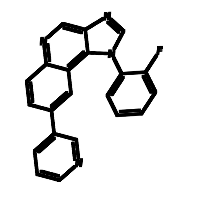 Fc1ccccc1-n1cnc2cnc3ccc(-c4cccnc4)cc3c21